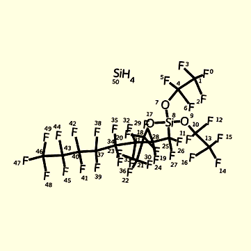 FC(F)(F)C(F)(F)O[Si](OC(F)(F)C(F)(F)F)(OC(F)(F)C(F)(F)F)C(F)(F)C(F)(F)C(F)(F)C(F)(F)C(F)(F)C(F)(F)C(F)(F)C(F)(F)F.[SiH4]